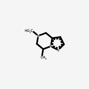 CC1CN(C(=O)O)Cc2ccnn21